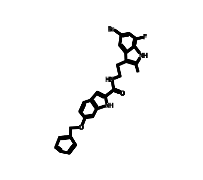 Cc1[nH]c2c(F)cc(Br)cc2c1CCNC(=O)c1cc2ccc(OCc3ccccc3)cc2[nH]1